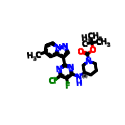 Cc1ccn2ncc(-c3nc(Cl)c(F)c(N[C@@H]4CCCN(C(=O)OC(C)(C)C)C4)n3)c2c1